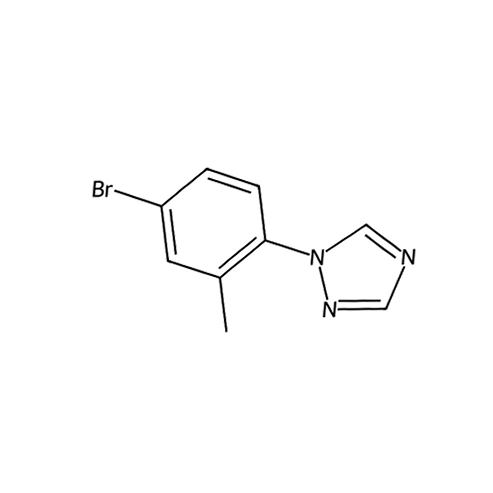 Cc1cc(Br)ccc1-n1cncn1